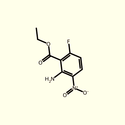 CCOC(=O)c1c(F)ccc([N+](=O)[O-])c1N